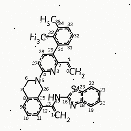 C=Cc1nc(N2CCc3cccc(C(=C)Nc4nc5ccccc5s4)c3C2)ccc1-c1cccc(C)c1C